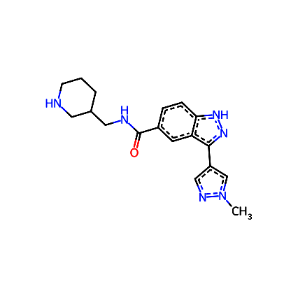 Cn1cc(-c2n[nH]c3ccc(C(=O)NCC4CCCNC4)cc23)cn1